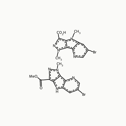 COC(=O)c1nn(C)c2c1[nH]c1cc(Br)cnc12.Cn1nc(C(=O)O)c2c1c1ncc(Br)cc1n2C